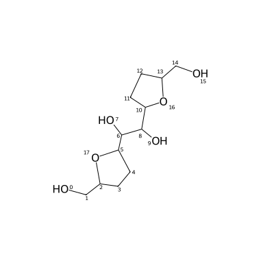 OCC1CCC(C(O)C(O)C2CCC(CO)O2)O1